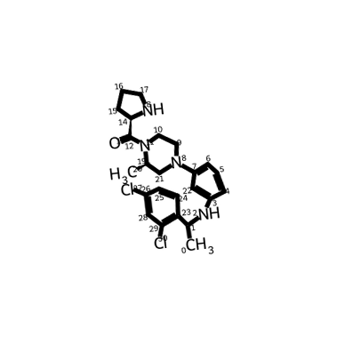 CC(Nc1cccc(N2CCN(C(=O)[C@H]3CCCN3)[C@H](C)C2)c1)c1ccc(Cl)cc1Cl